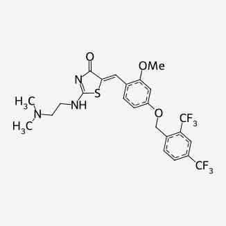 COc1cc(OCc2ccc(C(F)(F)F)cc2C(F)(F)F)ccc1C=C1SC(NCCN(C)C)=NC1=O